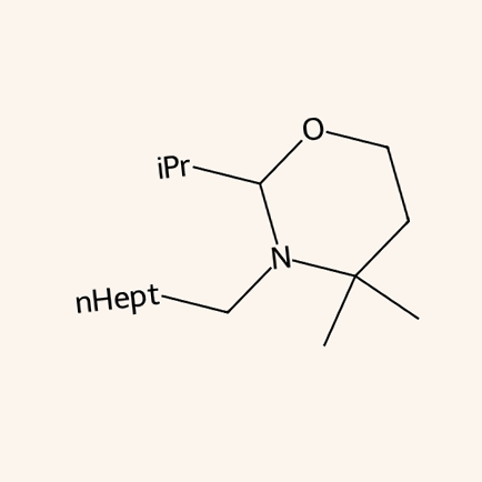 CCCCCCCCN1C(C(C)C)OCCC1(C)C